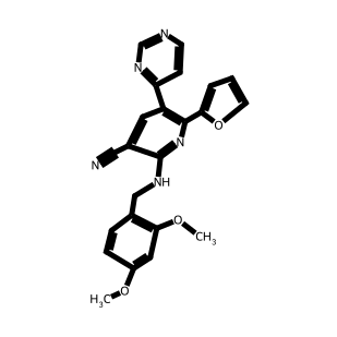 COc1ccc(CNc2nc(-c3ccco3)c(-c3ccncn3)cc2C#N)c(OC)c1